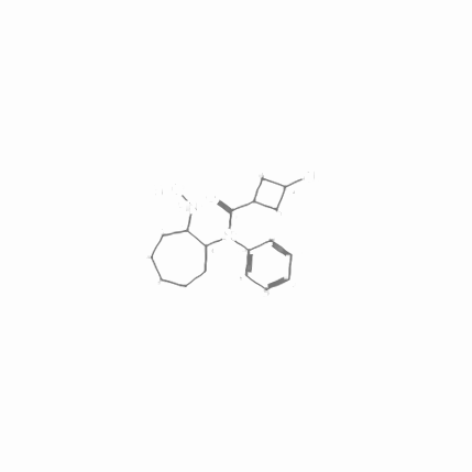 CNC1CCCCCC1N(C(=O)C1CC(Cl)C1)c1ccccc1